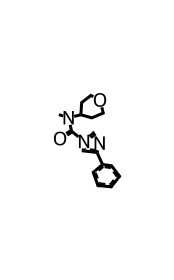 CN(C(=O)n1cnc(-c2ccccc2)c1)C1CCOCC1